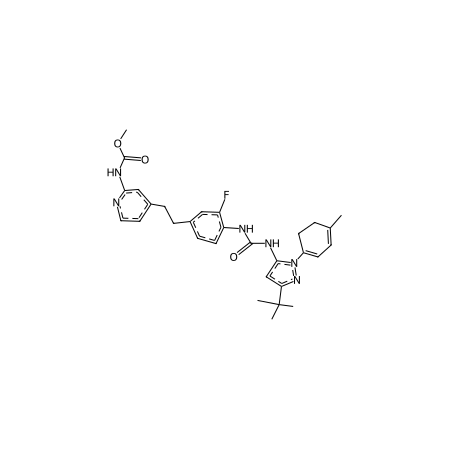 COC(=O)Nc1cc(CCc2ccc(NC(=O)Nc3cc(C(C)(C)C)nn3C3=CC=C(C)CC3)c(F)c2)ccn1